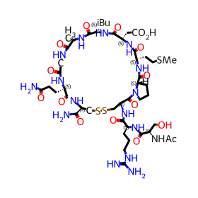 CC[C@H](C)[C@@H]1NC(=O)[C@H](CC(=O)O)NC(=O)[C@H](CCSC)NC(=O)[C@@H]2CCCN2C(=O)[C@@H](NC(=O)[C@H](CCCNC(=N)N)NC(=O)[C@H](CO)NC(C)=O)CSSC[C@@H](C(N)=O)NC(=O)[C@H](CCC(N)=O)NC(=O)CNC(=O)[C@H](C)NC1=O